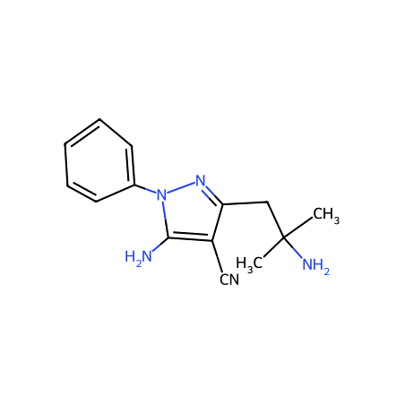 CC(C)(N)Cc1nn(-c2ccccc2)c(N)c1C#N